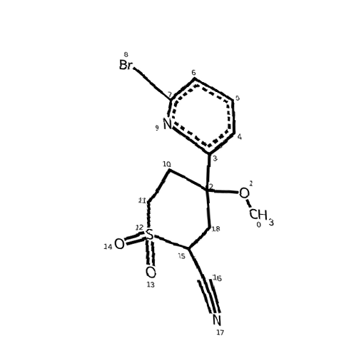 COC1(c2cccc(Br)n2)CCS(=O)(=O)C(C#N)C1